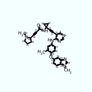 Cc1cc(Nc2ncncc2C#CC2(NC(=O)C#CC3CCCN3C)CC2)ccc1Oc1ccc2c(c1)ncn2C